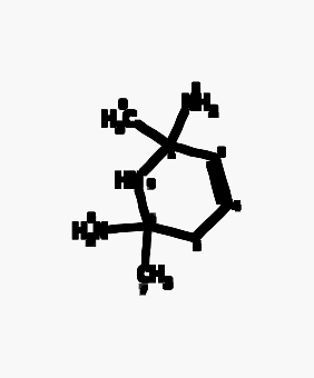 CC1(N)C=CCC(C)(N)N1